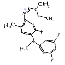 CCN(C)/C=N\c1cc(F)c(N(C)c2cc(F)cc(F)c2)cc1C